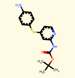 CC(C)(C)OC(=O)Nc1cc(Sc2ccc(N)cc2)ccn1